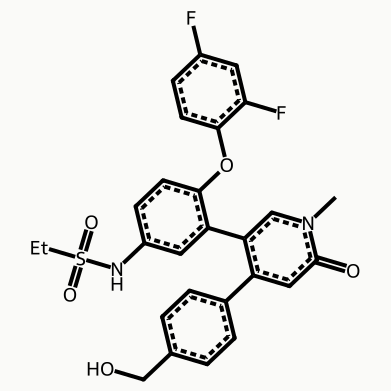 CCS(=O)(=O)Nc1ccc(Oc2ccc(F)cc2F)c(-c2cn(C)c(=O)cc2-c2ccc(CO)cc2)c1